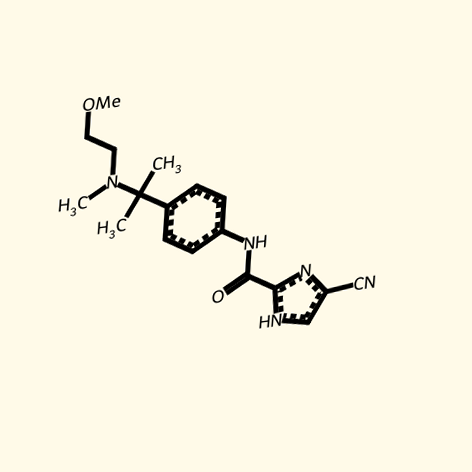 COCCN(C)C(C)(C)c1ccc(NC(=O)c2nc(C#N)c[nH]2)cc1